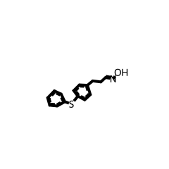 ON=CCCc1ccc(Sc2ccccc2)cc1